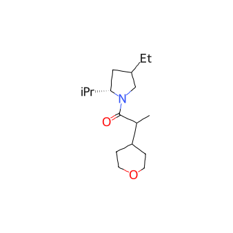 CCC1C[C@@H](C(C)C)N(C(=O)C(C)C2CCOCC2)C1